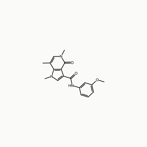 COc1cccc(NC(=O)c2cn(C)c3c(C)cn(C)c(=O)c23)c1